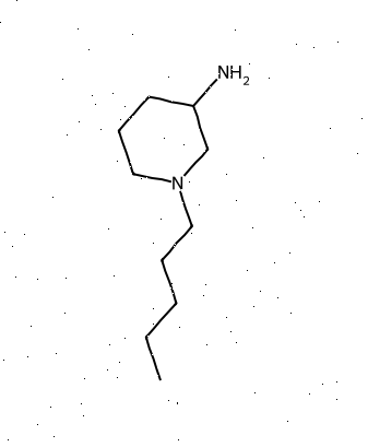 CCCCCN1CCCC(N)C1